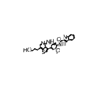 COc1cc(-c2csc3c(CCCO)cnc(N)c23)ccc1NC(=O)c1cc2ccccc2n1C